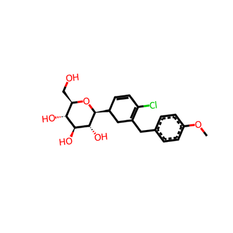 COc1ccc(CC2=C(Cl)C=CC([C@@H]3O[C@H](CO)[C@@H](O)[C@H](O)[C@H]3O)C2)cc1